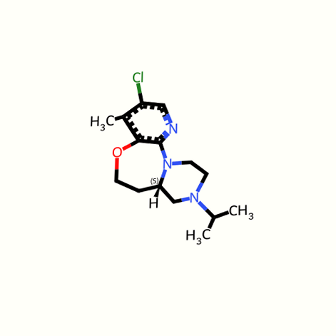 Cc1c(Cl)cnc2c1OCC[C@H]1CN(C(C)C)CCN21